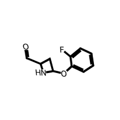 O=CC1CC(Oc2ccccc2F)N1